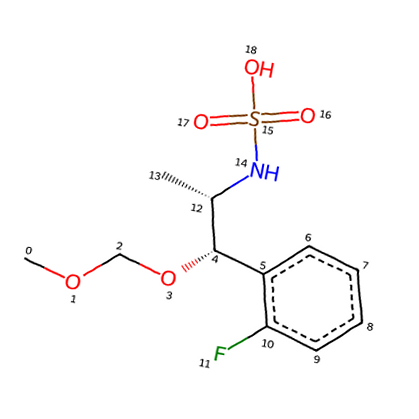 COCO[C@@H](c1ccccc1F)[C@H](C)NS(=O)(=O)O